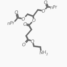 CCCC(=O)OCC(COC(=O)CCC)OC(=O)CCC(=O)OCCN